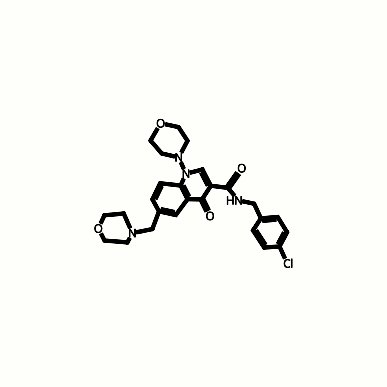 O=C(NCc1ccc(Cl)cc1)c1cn(N2CCOCC2)c2ccc(CN3CCOCC3)cc2c1=O